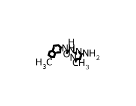 Cc1ccc2ccc(NC(=O)Nc3nc(C)cc(N)n3)cc2c1